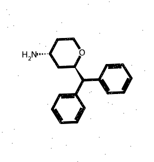 N[C@@H]1CCO[C@@H](C(c2ccccc2)c2ccccc2)C1